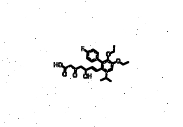 CCOc1cc(C(C)C)c(/C=C/C(O)CC(=O)CC(=O)O)c(-c2ccc(F)cc2)c1OCC